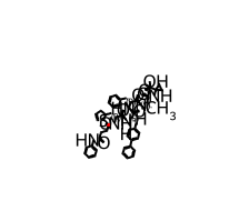 C[C@H](NC(=O)[C@@H](Cc1ccccc1)NC(=O)[C@H](Cc1ccc(-c2ccccc2)cc1)NC(=O)[C@@H](CC1CC=CS1)NC(=O)CCC(=O)Nc1ccccc1)C(=O)NC1(C(=O)O)CC1